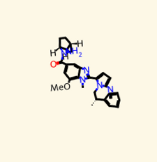 C=Nc1ccc(-c2nc3cc(C(=O)N4C[C@H]5CC[C@@H]4[C@@H]5N)cc(OC)c3n2C)n1C[C@@H](C)c1ccccc1